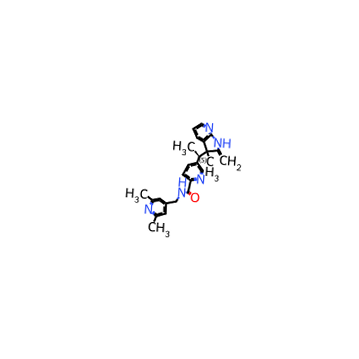 C=C1Nc2ncccc2C1(C)[C@H](C)c1ccc(C(=O)NCc2cc(C)nc(C)c2)nc1